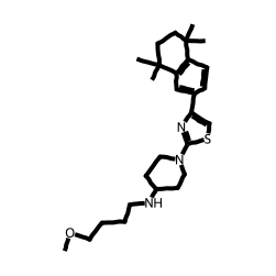 COCCCCNC1CCN(c2nc(-c3ccc4c(c3)C(C)(C)CCC4(C)C)cs2)CC1